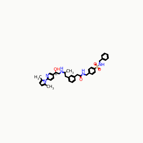 Cc1ccc(C)n1-c1ccc([C@@H](O)CN[C@H](C)Cc2cccc(CC(=O)NCc3ccc(S(=O)(=O)NCc4ccccc4)cc3)c2)cn1